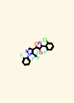 Fc1ccccc1-n1ncc(-c2onc(-c3c(F)cccc3Cl)c2Br)c1C(F)(F)F